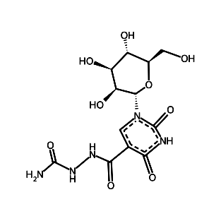 NC(=O)NNC(=O)c1cn([C@H]2O[C@H](CO)[C@@H](O)[C@H](O)[C@@H]2O)c(=O)[nH]c1=O